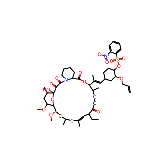 C=CCOC1CC(C=C(C)C2OC(=O)C3CCCCN3C(=O)C(=O)C3(O)OC(C(OC)CC(C)C/C(C)=C/C(CC)C(=O)CCC2C)C(OC)CC3C)CCC1OS(=O)(=O)c1ccccc1[N+](=O)[O-]